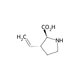 C=C[C@H]1CCN[C@@H]1C(=O)O